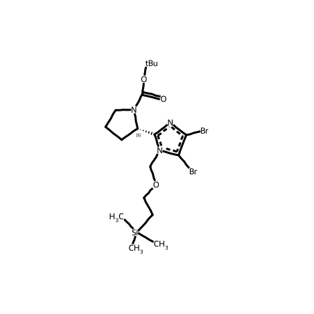 CC(C)(C)OC(=O)N1CCC[C@H]1c1nc(Br)c(Br)n1COCC[Si](C)(C)C